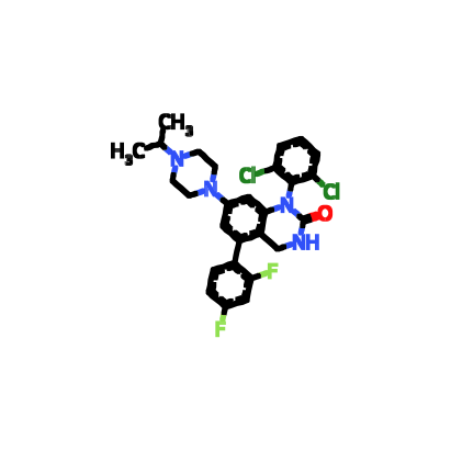 CC(C)N1CCN(c2cc(-c3ccc(F)cc3F)c3c(c2)N(c2c(Cl)cccc2Cl)C(=O)NC3)CC1